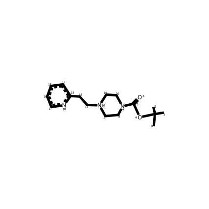 CC(C)(C)OC(=O)N1CCN(CCc2ccccn2)CC1